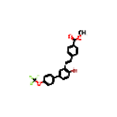 COC(=O)c1ccc(C=Cc2cc(-c3ccc(OC(F)(F)F)cc3)ccc2Br)cc1